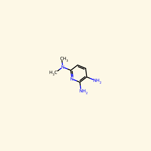 CN(C)c1ccc(N)c(N)n1